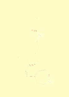 CCOC(=O)NCCCOc1c(Cl)ccc2c1CCNCC2.Cl